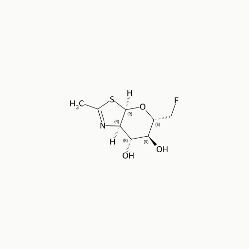 CC1=N[C@@H]2[C@@H](O)[C@H](O)[C@@H](CF)O[C@@H]2S1